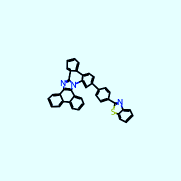 c1ccc2sc(-c3ccc(-c4ccc5c6ccccc6c6nc7c8ccccc8c8ccccc8c7n6c5c4)cc3)nc2c1